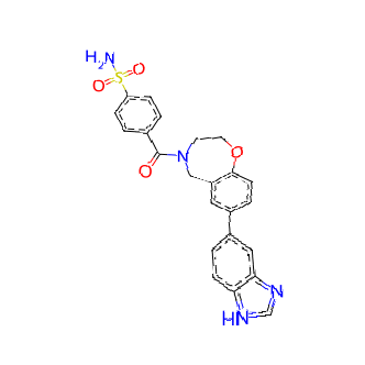 NS(=O)(=O)c1ccc(C(=O)N2CCOc3ccc(-c4ccc5[nH]cnc5c4)cc3C2)cc1